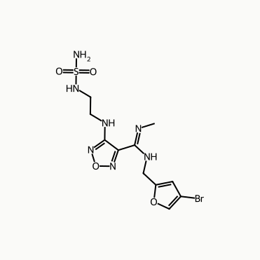 C/N=C(\NCc1cc(Br)co1)c1nonc1NCCNS(N)(=O)=O